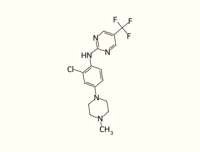 CN1CCN(c2ccc(Nc3ncc(C(F)(F)F)cn3)c(Cl)c2)CC1